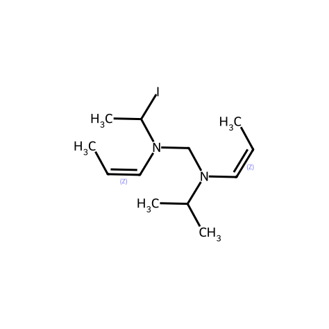 C/C=C\N(CN(/C=C\C)C(C)I)C(C)C